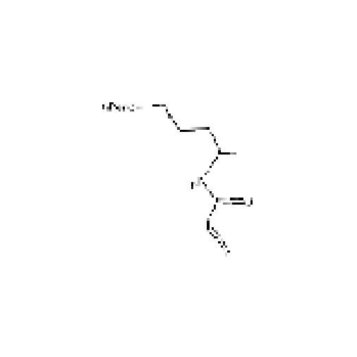 C=CC(=O)NC(C)CCCCCCCC